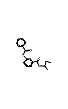 CCC(C)OC(=O)c1cccc(OC(=O)c2ccccc2)c1